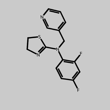 Fc1ccc(N(Cc2cccnc2)C2=NCCS2)c(F)c1